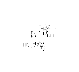 C#C[C@@]1(F)[C@H](O)[C@@H](COP(=O)(N[C@@H](C)C(=O)O)Oc2ccccc2)O[C@H]1n1cnc2c(N(C)C)nc(N)nc21